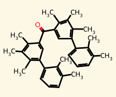 Cc1cccc(-c2cc(C(=O)c3cc(-c4cccc(C)c4C)c(C)c(C)c3C)c(C)c(C)c2C)c1C